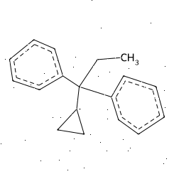 CCC([C]1CC1)(c1ccccc1)c1ccccc1